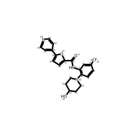 O=C(Nc1cc(C(F)(F)F)ccc1N1CCC(O)CC1)c1ccc(-c2ccncc2)o1